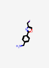 NCc1ccc(-c2nc(CI)co2)cc1